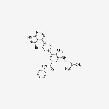 Cc1c(NCCN(C)C)cc(C(=O)Nc2ccccc2)cc1N1CCN(c2ncnc3[nH]nc(Br)c23)CC1